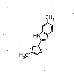 CC1=CSC(c2cc3ccc(C)cc3[nH]2)C1